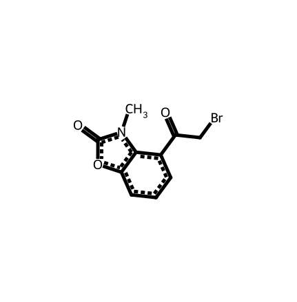 Cn1c(=O)oc2cccc(C(=O)CBr)c21